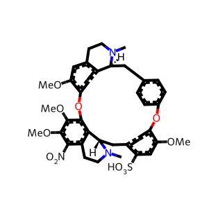 COc1cc(S(=O)(=O)O)c2cc1Oc1ccc(cc1)C[C@H]1c3cc(c(OC)cc3CCN1C)Oc1c(OC)c(OC)c([N+](=O)[O-])c3c1[C@H](C2)N(C)CC3